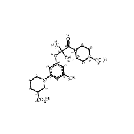 CCOC(=O)C1CCCN(c2cc(C#N)cc(OC(C)(C)C(=O)N3CCN(C(=O)O)CC3)c2)C1